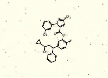 N#Cc1cccc(-n2nc(C(F)(F)F)cc2C(=O)Nc2cc(C(CC(O)C3CC3)c3ccccc3)ccc2F)c1